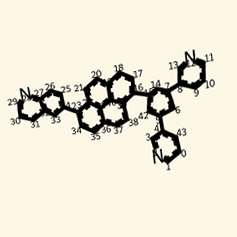 c1cncc(-c2cc(-c3cccnc3)cc(-c3ccc4ccc5c(-c6ccc7ncccc7c6)ccc6ccc3c4c65)c2)c1